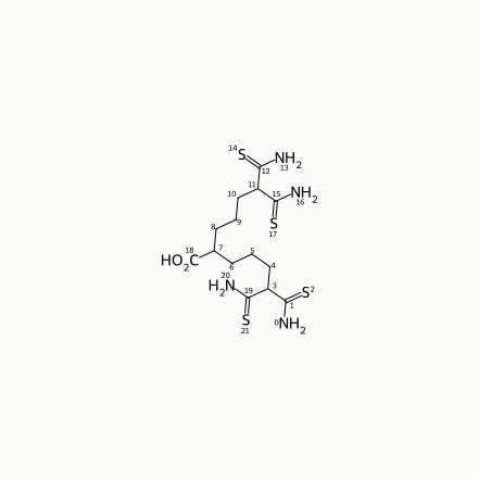 NC(=S)C(CCCC(CCCC(C(N)=S)C(N)=S)C(=O)O)C(N)=S